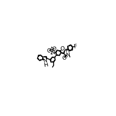 CCc1cc(-c2cc3ccccc3[nH]2)cc(-c2cc3c(C(=O)NC)c(-c4ccc(F)cc4)oc3cc2N(C)S(C)(=O)=O)c1